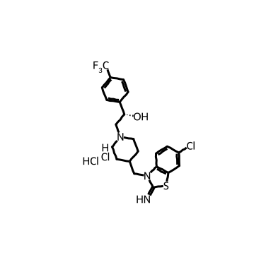 Cl.Cl.N=c1sc2cc(Cl)ccc2n1CC1CCN(C[C@@H](O)c2ccc(C(F)(F)F)cc2)CC1